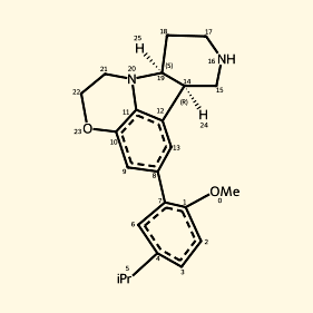 COc1ccc(C(C)C)cc1-c1cc2c3c(c1)[C@@H]1CNCC[C@@H]1N3CCO2